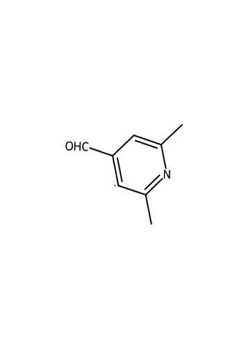 Cc1[c]c(C=O)cc(C)n1